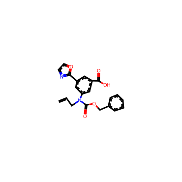 C=CCN(C(=O)OCc1ccccc1)c1cc(C(=O)O)cc(-c2ncco2)c1